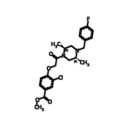 COC(=O)c1ccc(OCC(=O)N2C[C@@H](C)N(Cc3ccc(F)cc3)C[C@@H]2C)c(Cl)c1